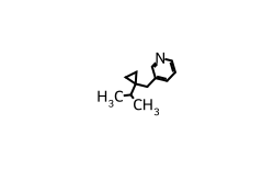 CC(C)C1(Cc2cccnc2)CC1